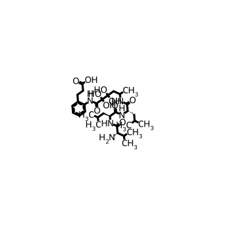 CC(C)C[C@H](NC(=O)[C@H](CC(C)C)NC(=O)[C@@H](N)C(C)C)C(=O)NC(C)CC(O)(O)C(O)(O)C(=O)Nc1ccccc1CCC(=O)O